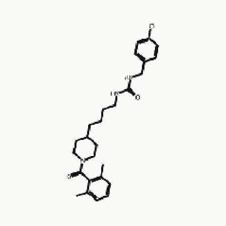 Cc1cccc(C)c1C(=O)N1CCC(CCCCNC(=O)NCc2ccc(Cl)cc2)CC1